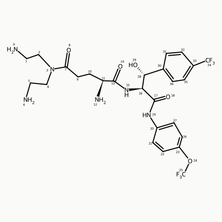 NCCN(CCN)C(=O)CC[C@H](N)C(=O)N[C@H](C(=O)Nc1ccc(OC(F)(F)F)cc1)[C@H](O)c1ccc(C(F)(F)F)cc1